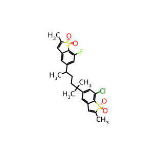 CC1=Cc2cc(C(C)CCC(C)(C)c3cc(Cl)c4c(c3)C=C(C)S4(=O)=O)cc(F)c2S1(=O)=O